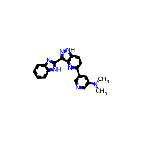 CN(C)c1cncc(-c2ccc3[nH]nc(-c4nc5ccccc5[nH]4)c3n2)c1